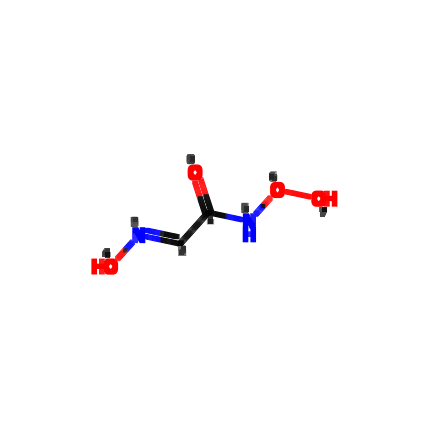 O=C(C=NO)NOO